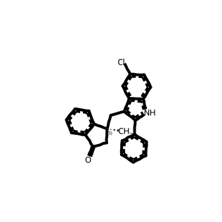 C[C@]1(Cc2c(-c3ccccc3)[nH]c3ccc(Cl)cc23)CC(=O)c2ccccc21